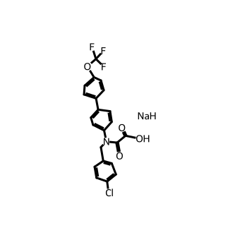 O=C(O)C(=O)N(Cc1ccc(Cl)cc1)c1ccc(-c2ccc(OC(F)(F)F)cc2)cc1.[NaH]